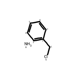 ClCc1ccccc1.N